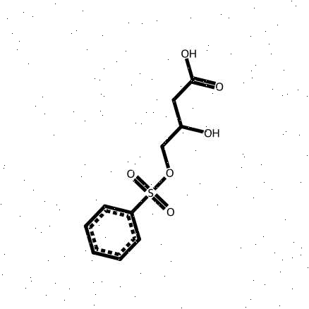 O=C(O)CC(O)COS(=O)(=O)c1ccccc1